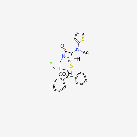 CC(=O)N(c1cccs1)C1C(=O)N2CC(CF)(C(=O)O)C(C(c3ccccc3)c3ccccc3)S[C@H]12